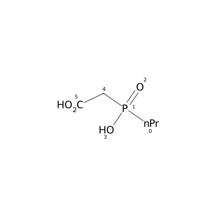 CCCP(=O)(O)CC(=O)O